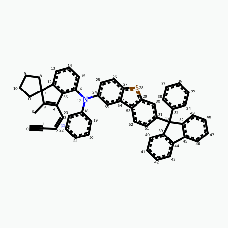 C#C/C=C\C1=C(C)C2(CCCC2)c2cccc(N(c3ccccc3)c3ccc4sc5cc(C6(c7ccccc7)c7ccccc7-c7ccccc76)ccc5c4c3)c21